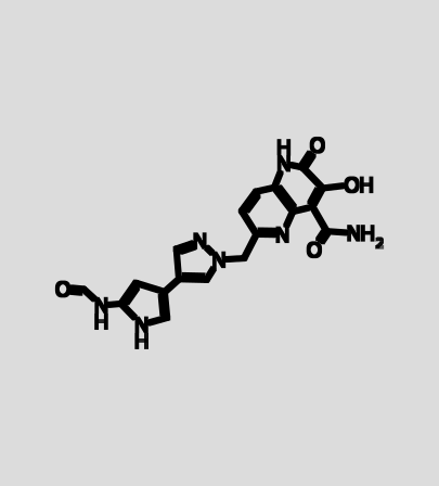 NC(=O)c1c(O)c(=O)[nH]c2ccc(Cn3cc(-c4c[nH]c(NC=O)c4)cn3)nc12